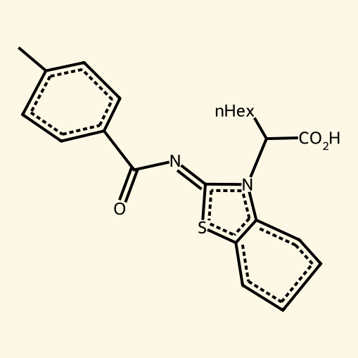 CCCCCCC(C(=O)O)n1/c(=N/C(=O)c2ccc(C)cc2)sc2ccccc21